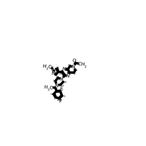 CC(=O)N1CCc2nc(N3CCN(C(C)c4ccc(F)cc4F)CC3)c(-c3cnn(C)c3)nc2C1